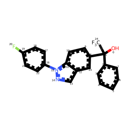 OC(c1ccccc1)(c1ccc2c(cnn2-c2ccc(F)cc2)c1)C(F)(F)F